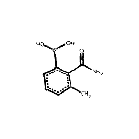 Cc1cccc(B(O)O)c1C(N)=O